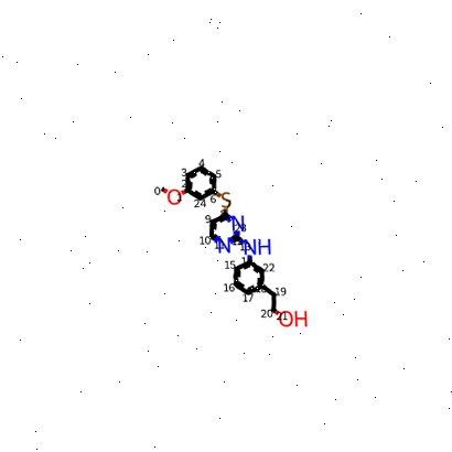 COc1cccc(Sc2ccnc(Nc3cccc(CCO)c3)n2)c1